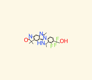 Cc1nc(NC(C)c2cccc(C(F)(F)CO)c2F)c2cc3c(cc2n1)N(C)C(=O)C3(C)C